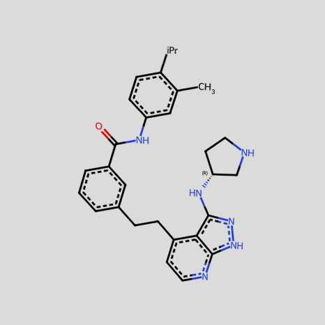 Cc1cc(NC(=O)c2cccc(CCc3ccnc4[nH]nc(N[C@@H]5CCNC5)c34)c2)ccc1C(C)C